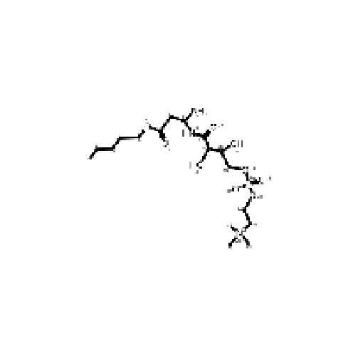 CCCCCOC(=O)CC(N)NC(=O)C(O)C(O)COP(=O)([O-])OCC[N+](C)(C)C